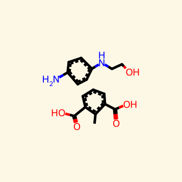 Cc1c(C(=O)O)cccc1C(=O)O.Nc1ccc(NCCO)cc1